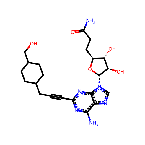 NC(=O)CC[C@@H]1O[C@@H](n2cnc3c(N)nc(C#CCC4CCC(CO)CC4)nc32)[C@H](O)[C@H]1O